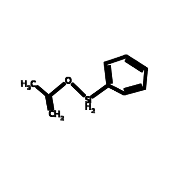 C=C(C)O[SiH2]c1ccccc1